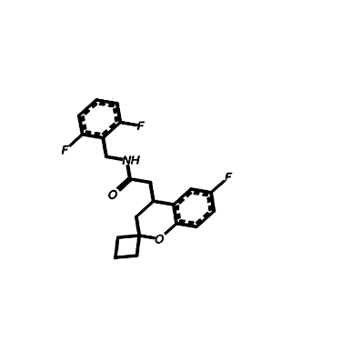 O=C(CC1CC2(CCC2)Oc2ccc(F)cc21)NCc1c(F)cccc1F